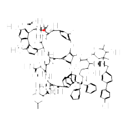 CN[C@@H](CC(C)C)C(=O)N[C@H]1C(=O)N[C@@H](CC(N)=O)C(=O)NC2C(=O)NC3C(=O)N[C@H](C(=O)N[C@@H](C(=O)O)c4cc(O)cc(O)c4-c4cc3ccc4O)[C@H](O)c3ccc(c(Cl)c3)Oc3cc2cc(c3OC2OC(CN=P(c3ccccc3)(c3ccccc3)c3ccccc3)C(O)C(O)C2OC2CC(C)(NCc3ccc(-c4ccc(Cl)cc4)cc3)C(O)C(C)O2)Oc2ccc(cc2Cl)[C@H]1O